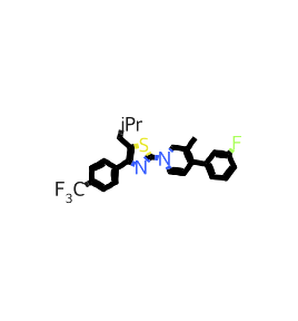 CC1=C(c2cccc(F)c2)C=CN(c2nc(-c3ccc(C(F)(F)F)cc3)c(CC(C)C)s2)C1